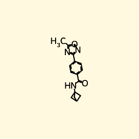 Cc1nc(-c2ccc(C(=O)NC34CC(C3)C4)cc2)no1